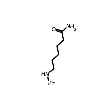 CC(C)NCCCCCC(N)=O